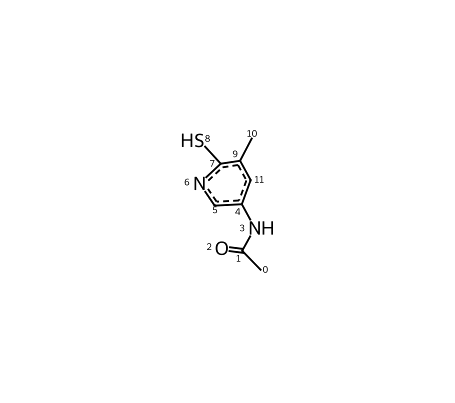 CC(=O)Nc1cnc(S)c(C)c1